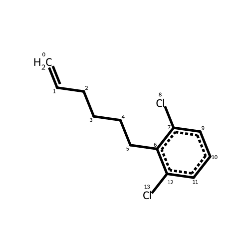 C=CCCCCc1c(Cl)cccc1Cl